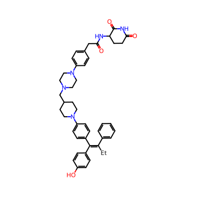 CC/C(=C(\c1ccc(O)cc1)c1ccc(N2CCC(CN3CCN(c4ccc(CC(=O)NC5CCC(=O)NC5=O)cc4)CC3)CC2)cc1)c1ccccc1